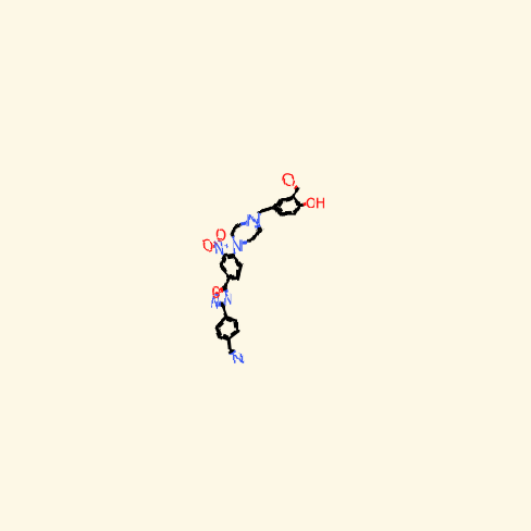 N#Cc1ccc(-c2noc(-c3ccc(N4CCN(Cc5ccc(O)c(C=O)c5)CC4)c([N+](=O)[O-])c3)n2)cc1